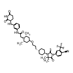 C[C@@H]1CC(OCCC[C@H]2CC[C@H](N3C(=S)N(c4ccc(C#N)c(C(F)(F)F)c4)C(=O)C3(C)C)CC2)C[C@H](C)N1CC(=O)Nc1cccc(NC2CCC(=O)NC2=O)c1